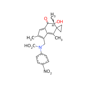 CC1=C(CN(C(=O)O)c2ccc([N+](=O)[O-])cc2)C2=C(C)C3(CC3)[C@@](C)(O)C(=O)C2=C1